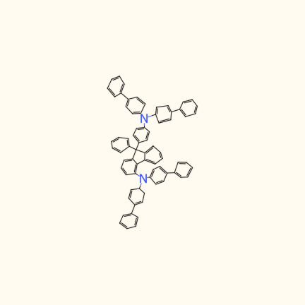 C1=CC(N(c2ccc(-c3ccccc3)cc2)c2cccc3c2-c2ccccc2C3(c2ccccc2)c2ccc(N(c3ccc(-c4ccccc4)cc3)c3ccc(-c4ccccc4)cc3)cc2)CC=C1c1ccccc1